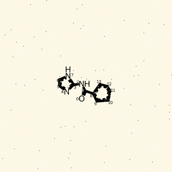 O=C(Nc1ncc[nH]1)c1cc[c]cc1